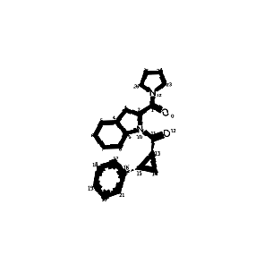 O=C(C1CC2CCCCC2N1C(=O)[C@H]1C[C@@H]1c1ccccc1)N1CCCC1